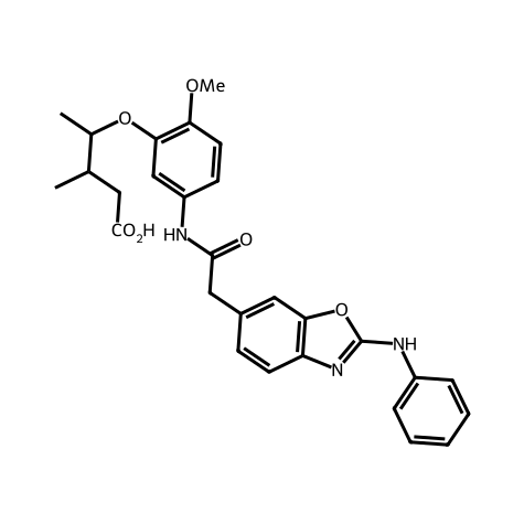 COc1ccc(NC(=O)Cc2ccc3nc(Nc4ccccc4)oc3c2)cc1OC(C)C(C)CC(=O)O